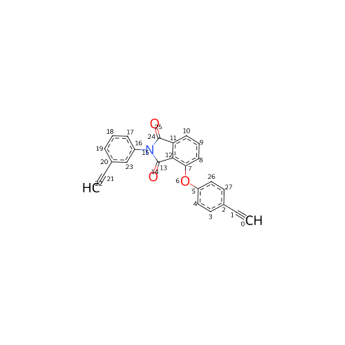 C#Cc1ccc(Oc2cccc3c2C(=O)N(c2cccc(C#C)c2)C3=O)cc1